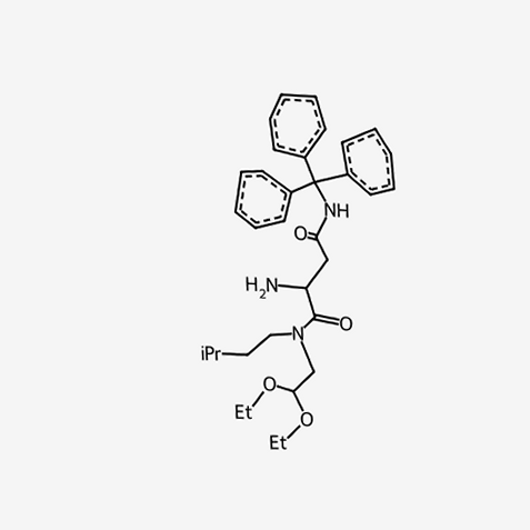 CCOC(CN(CCC(C)C)C(=O)C(N)CC(=O)NC(c1ccccc1)(c1ccccc1)c1ccccc1)OCC